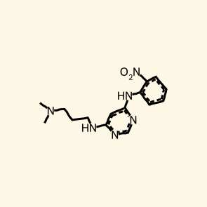 CN(C)CCCNc1cc(Nc2ccccc2[N+](=O)[O-])ncn1